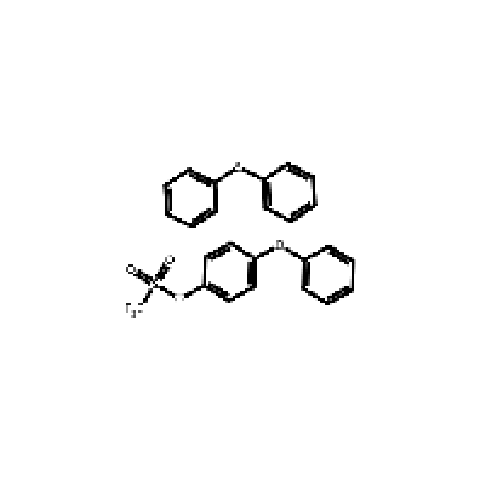 O=S(=O)(Oc1ccc(Oc2ccccc2)cc1)C(F)(F)F.c1ccc(Sc2ccccc2)cc1